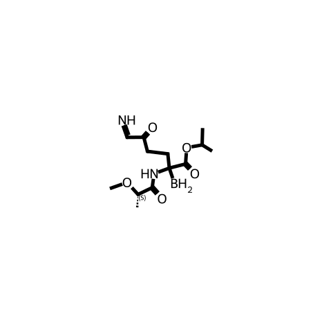 BC(CCC(=O)C=N)(NC(=O)[C@H](C)OC)C(=O)OC(C)C